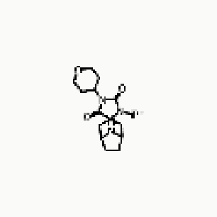 CC(C)N1C(=O)N(C2CCOCC2)C(=O)C12CC1CCC(C2)N1